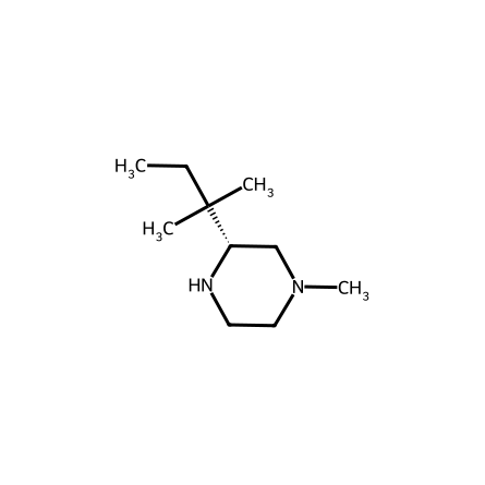 CCC(C)(C)[C@@H]1CN(C)CCN1